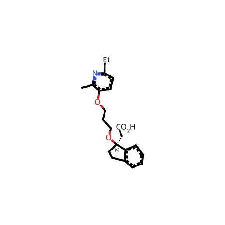 CCc1ccc(OCCCO[C@]2(CC(=O)O)CCc3ccccc32)c(C)n1